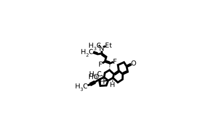 C=C/C(=C\C(F)=C(/F)[C@H]1C[C@@]2(C)[C@@H](CC[C@@]2(O)C#CC)[C@@H]2CCC3=CC(=O)CCC3=C21)N(C)CC